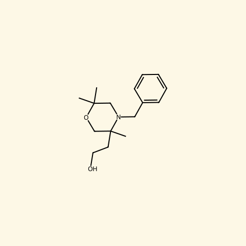 CC1(C)CN(Cc2ccccc2)C(C)(CCO)CO1